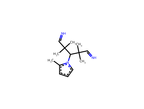 Cc1cccn1C(C(C)(C)C=N)C(C)(C)C=N